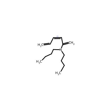 C=C/C=C\C(=C)N(CCCC)CCCC